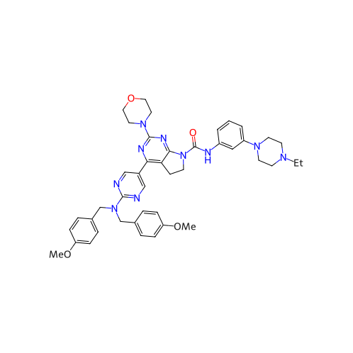 CCN1CCN(c2cccc(NC(=O)N3CCc4c(-c5cnc(N(Cc6ccc(OC)cc6)Cc6ccc(OC)cc6)nc5)nc(N5CCOCC5)nc43)c2)CC1